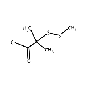 CSSC(C)(C)C(=O)Cl